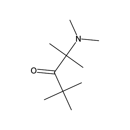 CN(C)C(C)(C)C(=O)C(C)(C)C